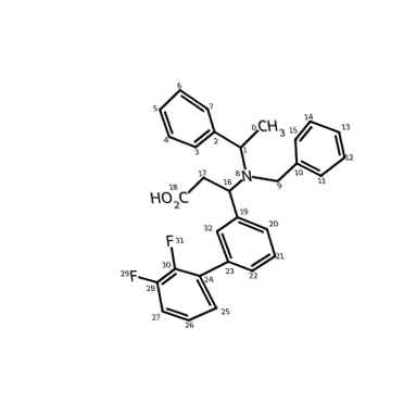 CC(c1ccccc1)N(Cc1ccccc1)C(CC(=O)O)c1cccc(-c2cccc(F)c2F)c1